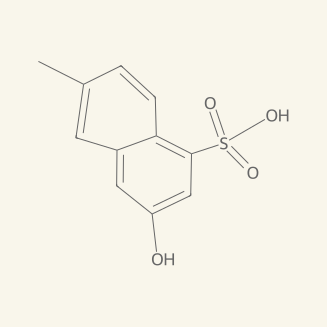 Cc1ccc2c(S(=O)(=O)O)cc(O)cc2c1